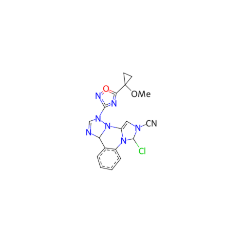 COC1(c2nc(N3C=NC4c5ccccc5N5C(=CN(C#N)C5Cl)N43)no2)CC1